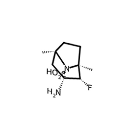 C[C@@]12CC[C@@](C)([C@H](F)[C@H](N)C1)N2C(=O)O